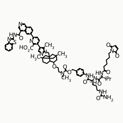 Cc1c(-c2ccc(-c3ccc4cncc(C(=O)Nc5nc6ccccc6s5)c4c3)nc2C(=O)O)cnn1CC12CC3(C)CCC1C(OCCN(C)C(=O)OCc1ccc(NC(=O)[C@H](CCCNC(N)=O)NC(=O)[C@@H](NC(=O)CCCCCN4C(=O)C=CC4=O)C(C)C)cc1)CC(C)(C3)C2